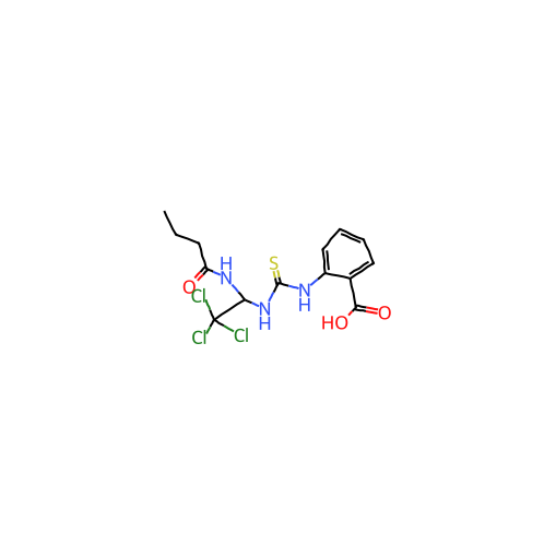 CCCC(=O)NC(NC(=S)Nc1ccccc1C(=O)O)C(Cl)(Cl)Cl